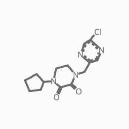 O=C1C(=O)N(C2CCCC2)CCN1Cc1cnc(Cl)cn1